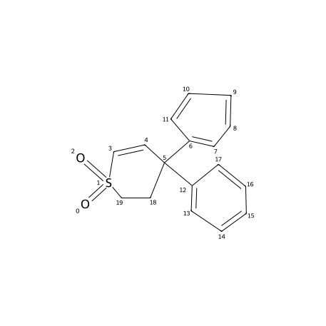 O=S1(=O)C=CC(c2ccccc2)(c2ccccc2)CC1